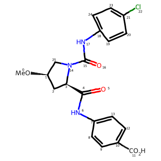 CO[C@@H]1C[C@H](C(=O)Nc2ccc(C(=O)O)cc2)N(C(=O)Nc2ccc(Cl)cc2)C1